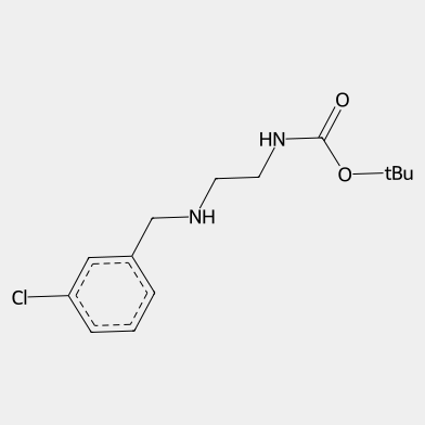 CC(C)(C)OC(=O)NCCNCc1cccc(Cl)c1